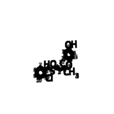 CC(CCSCc1ccccc1Cl)(Oc1ccc(O)cc1)C(=O)O